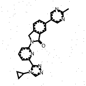 Cc1ncc(-c2ccc3c(c2)C(=O)N(c2cccc(-c4nncn4C4CC4)n2)C3)cn1